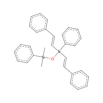 C[Si](C)(O[Si](C=Cc1ccccc1)(C=Cc1ccccc1)c1ccccc1)c1ccccc1